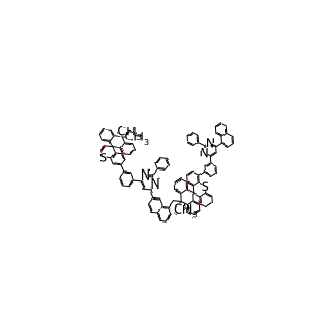 CC1(C)c2ccccc2C2(c3ccccc3Sc3cc(-c4cccc(-c5cc(-c6ccc7cccc(CC8(C)c9ccccc9C9(c%10ccccc%10Sc%10c(-c%11cccc(-c%12cc(-c%13cccc%14ccccc%13%14)nc(-c%13ccccc%13)n%12)c%11)cccc%109)c9ccccc98)c7c6)nc(-c6ccccc6)n5)c4)ccc32)c2ccccc21